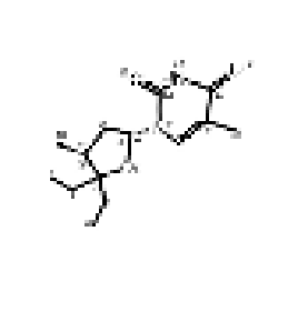 CCC1(CC)O[C@@H](n2cc(C)c(=O)[nH]c2=O)C[C@@H]1C